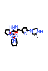 C[C@@H]1CN(c2ccc(-c3n[nH]c4cnc(N5C6CCC5CN(C(=O)N5CCCC5)C6)nc34)cn2)CCN1